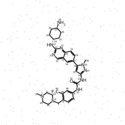 CN1CCN(Cc2ccc(NC(=O)Nc3cc(-c4ccc5nc(N[C@H]6CC[C@H](N)CC6)ncc5c4)n(C)n3)cc2C(F)(F)F)CC1